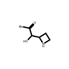 CCC(C)C(=O)C(O)C1CCN1